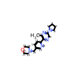 Cc1nc(N2CCCC2)cnc1-c1ccc(CN2CCOCC2)cn1